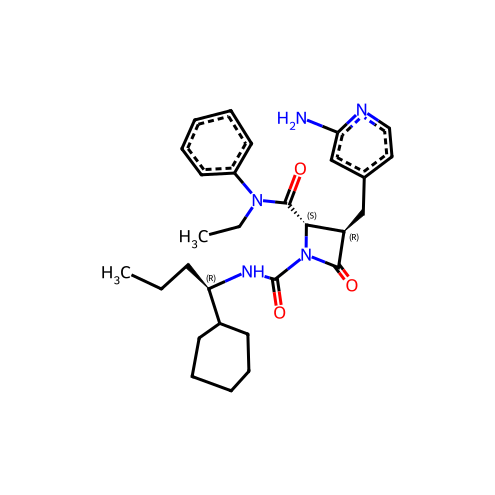 CCC[C@@H](NC(=O)N1C(=O)[C@H](Cc2ccnc(N)c2)[C@H]1C(=O)N(CC)c1ccccc1)C1CCCCC1